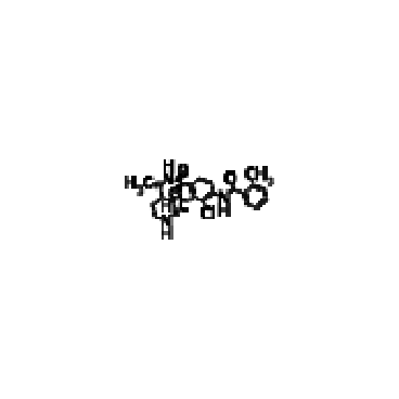 Cc1ccccc1C(=O)Nc1ccc(S(=O)(=O)N[C@H](C)C2CCNCC2)c(C)c1Cl